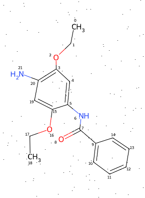 CCOc1cc(NC(=O)c2ccccc2)c(OCC)cc1N